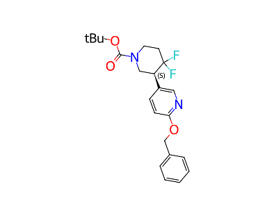 CC(C)(C)OC(=O)N1CCC(F)(F)[C@@H](c2ccc(OCc3ccccc3)nc2)C1